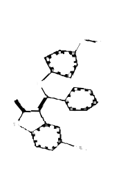 CCOc1ccc(N/C(=C2\C(=O)Nc3ccc(N)cc32)c2ccccc2)cc1